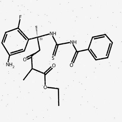 CCOC(=O)C(C)C(=O)C[C@](C)(NC(=S)NC(=O)c1ccccc1)c1cc(N)ccc1F